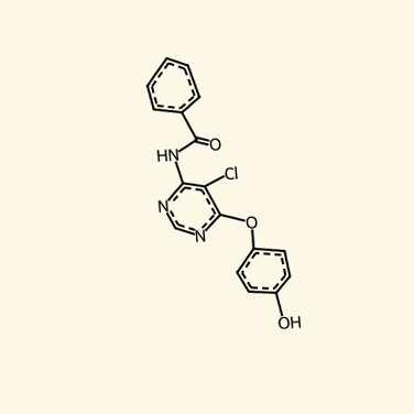 O=C(Nc1ncnc(Oc2ccc(O)cc2)c1Cl)c1ccccc1